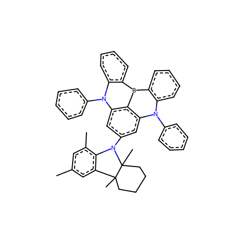 Cc1cc(C)c2c(c1)C1(C)CCCCC1(C)N2c1cc2c3c(c1)N(c1ccccc1)c1ccccc1B3c1ccccc1N2c1ccccc1